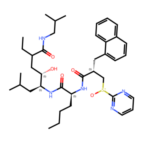 CCCC[C@H](NC(=O)[C@H](Cc1cccc2ccccc12)C[S+]([O-])c1ncccn1)C(=O)N[C@@H](CC(C)C)[C@@H](O)CC(CC)C(=O)NCC(C)C